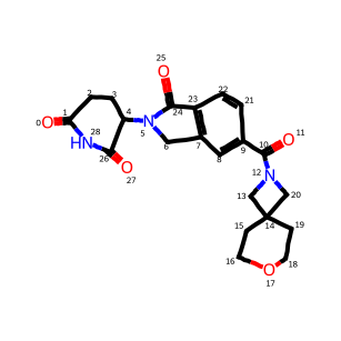 O=C1CCC(N2Cc3cc(C(=O)N4CC5(CCOCC5)C4)ccc3C2=O)C(=O)N1